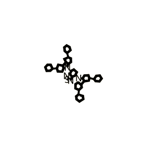 c1ccc(-c2ccc3c(c2)c2cc(-c4ccccc4)ccc2n3-c2ccc(-n3c4ccc(-c5ccccc5)cc4c4cc(-c5ccccc5)ccc43)c3nsnc23)cc1